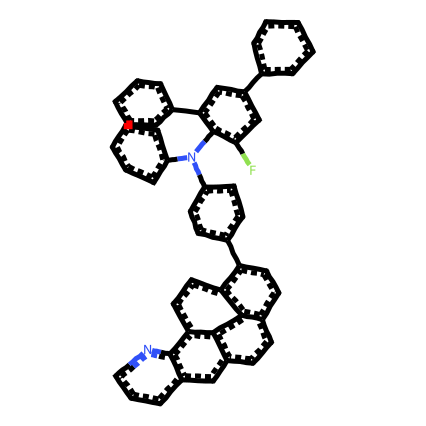 Fc1cc(-c2ccccc2)cc(-c2ccccc2)c1N(c1ccccc1)c1ccc(-c2ccc3ccc4cc5cccnc5c5ccc2c3c45)cc1